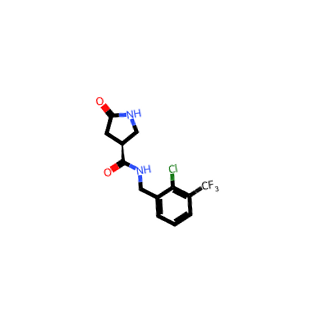 O=C1C[C@H](C(=O)NCc2cccc(C(F)(F)F)c2Cl)CN1